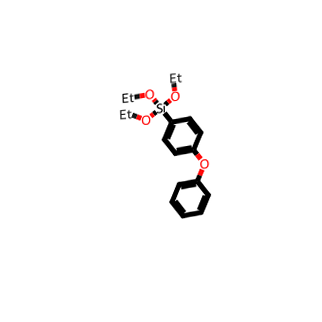 CCO[Si](OCC)(OCC)c1ccc(Oc2ccccc2)cc1